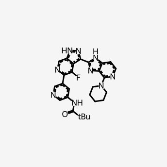 CC(C)(C)C(=O)Nc1cncc(-c2ncc3[nH]nc(-c4nc5c(N6CCCCC6)nccc5[nH]4)c3c2F)c1